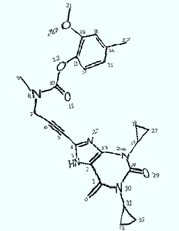 C=C1c2[nH]c(C#CCN(C)C(=O)Oc3ccc(C)cc3OC)nc2N(C2CC2)C(=O)N1C1CC1